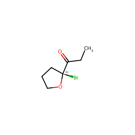 CCC(=O)[C@@]1(Br)CCCO1